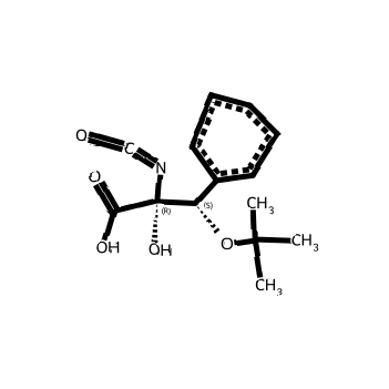 CC(C)(C)O[C@@H](c1ccccc1)[C@](O)(N=C=O)C(=O)O